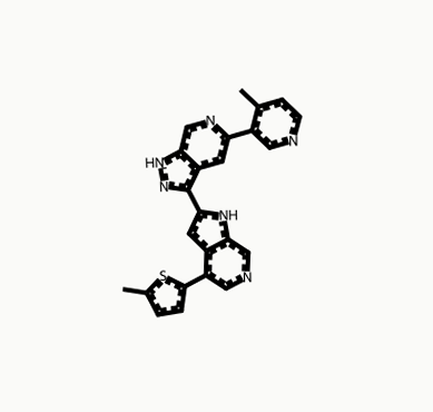 Cc1ccc(-c2cncc3[nH]c(-c4n[nH]c5cnc(-c6cnccc6C)cc45)cc23)s1